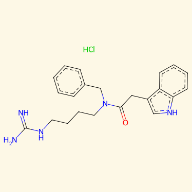 Cl.N=C(N)NCCCCN(Cc1ccccc1)C(=O)Cc1c[nH]c2ccccc12